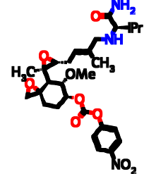 CO[C@@H]1[C@H](OC(=O)Oc2ccc([N+](=O)[O-])cc2)CC[C@]2(CO2)[C@H]1[C@@]1(C)O[C@@H]1C/C=C(\C)CN[C@@H](C(N)=O)C(C)C